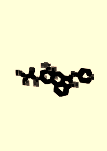 CCCN1C[C@@H](NC(=O)N(CC)CC)CC2c3cccc4[nH]c(Sc5ccncc5)c(c34)C[C@H]21